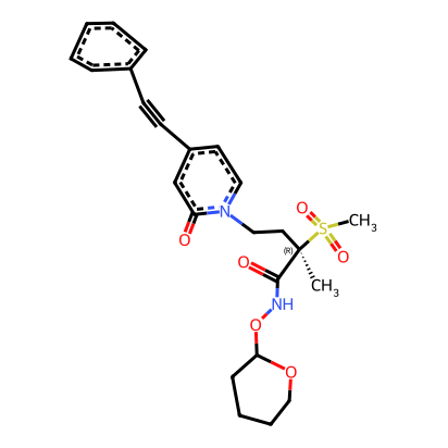 C[C@@](CCn1ccc(C#Cc2ccccc2)cc1=O)(C(=O)NOC1CCCCO1)S(C)(=O)=O